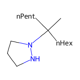 CCCCCCC(C)(CCCCC)N1CCCN1